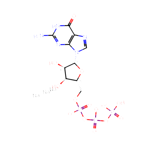 Nc1nc2c(ncn2[C@@H]2O[C@H](COP(=O)([O-])OP(=O)([O-])OP(=O)([O-])O)[C@@H](O)[C@H]2O)c(=O)[nH]1.[Na+].[Na+].[Na+]